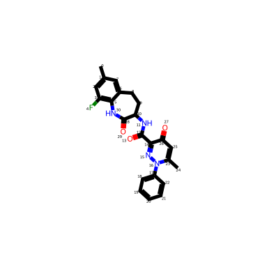 Cc1cc(F)c2c(c1)CCC(NC(=O)c1nn(-c3ccccc3)c(C)cc1=O)C(=O)N2